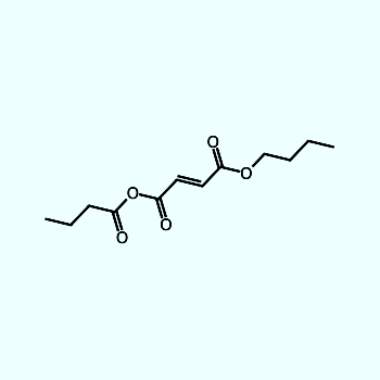 CCCCOC(=O)/C=C/C(=O)OC(=O)CCC